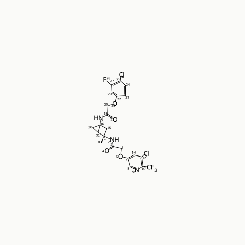 C[C@]1(NC(=O)COc2cnc(C(F)(F)F)c(Cl)c2)CC2(NC(=O)COc3ccc(Cl)c(F)c3)CC21